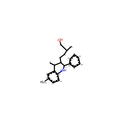 CC(CO)CCC1C(C)c2cc(C(C)(C)C)ccc2NC1c1ccccc1